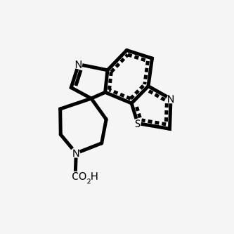 O=C(O)N1CCC2(C=Nc3ccc4ncsc4c32)CC1